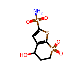 NS(=O)(=O)c1cc2c(s1)S(=O)(=O)CCC2O